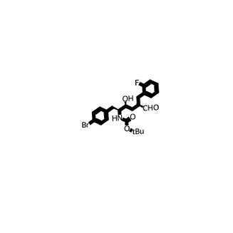 CC(C)(C)OC(=O)N[C@@H](Cc1ccc(Br)cc1)[C@@H](O)C[C@H](C=O)Cc1ccccc1F